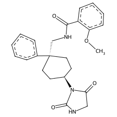 COc1ccccc1C(=O)NC[C@]1(c2ccccc2)CC[C@@H](N2C(=O)CNC2=O)CC1